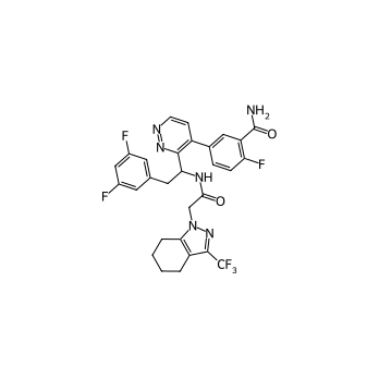 NC(=O)c1cc(-c2ccnnc2C(Cc2cc(F)cc(F)c2)NC(=O)Cn2nc(C(F)(F)F)c3c2CCCC3)ccc1F